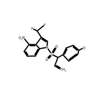 C=CC(c1ccc(Cl)cc1)S(=O)(=O)n1cc(C(F)F)c2c([N+](=O)[O-])cccc21